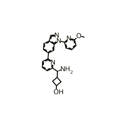 COc1cccc(-n2ncc3ccc(-c4cccc([C@@H](N)C5CC(O)C5)n4)cc32)n1